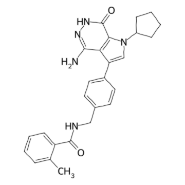 Cc1ccccc1C(=O)NCc1ccc(-c2cn(C3CCCC3)c3c(=O)[nH]nc(N)c23)cc1